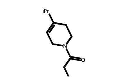 COCC(=O)N1CC=C(C(C)C)CC1